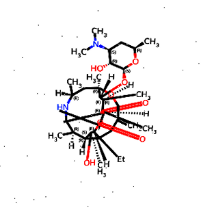 C=C1CC[C@@H]2[C@@H](C)CN[C@H](C)C[C@@](C)(OC1)[C@H](O[C@@H]1O[C@H](C)C[C@H](N(C)C)[C@H]1O)[C@@H](C)C(=O)[C@@H](C)C(=O)O[C@H](CC)[C@@]2(C)O